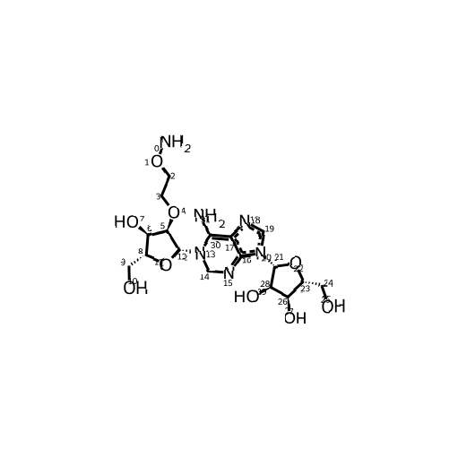 NOCCO[C@@H]1[C@H](O)[C@@H](CO)O[C@H]1N1CN=c2c(ncn2[C@@H]2O[C@H](CO)[C@@H](O)[C@H]2O)=C1N